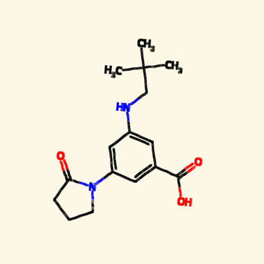 CC(C)(C)CNc1cc(C(=O)O)cc(N2CCCC2=O)c1